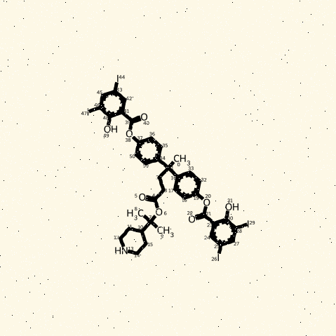 CC(CCC(=O)OC(C)(C)C1CCNCC1)(c1ccc(OC(=O)c2cc(I)cc(I)c2O)cc1)c1ccc(OC(=O)c2cc(I)cc(I)c2O)cc1